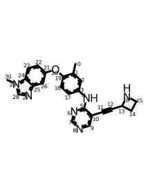 Cc1cc(Nc2ncncc2C#CC2CCN2)ccc1Oc1ccc2c(c1)ncn2C